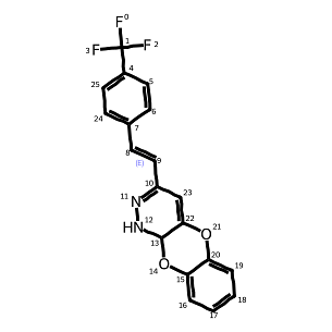 FC(F)(F)c1ccc(/C=C/C2=NNC3Oc4ccccc4OC3=C2)cc1